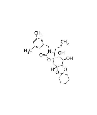 C=CC[C@]1(O)N(Cc2cc(C)cc(C)c2)C(=O)O[C@@]12C[C@@H](O)C1OC3(CCCCC3)O[C@@H]1C2